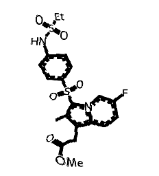 CCS(=O)(=O)Nc1ccc(S(=O)(=O)c2c(C)c(CC(=O)OC)c3ccc(F)cn23)cc1